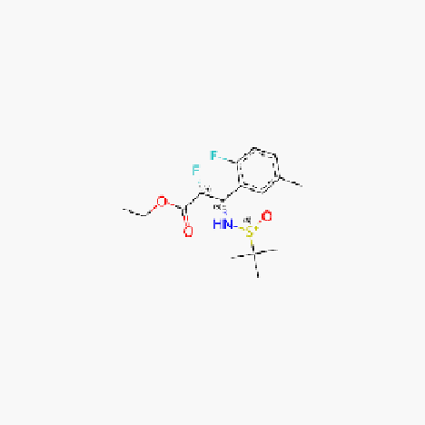 CCOC(=O)[C@H](F)[C@@H](N[S@+]([O-])C(C)(C)C)c1cc(C)ccc1F